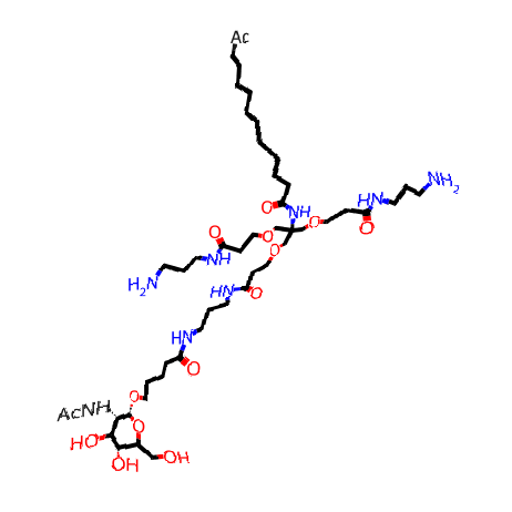 CC(=O)CCCCCCCCCCC(=O)NC(COCCC(=O)NCCCN)(COCCC(=O)NCCCN)COCCC(=O)NCCCNC(=O)CCCCO[C@@H]1OC(CO)[C@H](O)C(O)[C@@H]1NC(C)=O